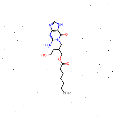 CCCCCCCCCCCCCCCC(=O)OCC(CCO)Cn1c(N)nc2nc[nH]c2c1=O